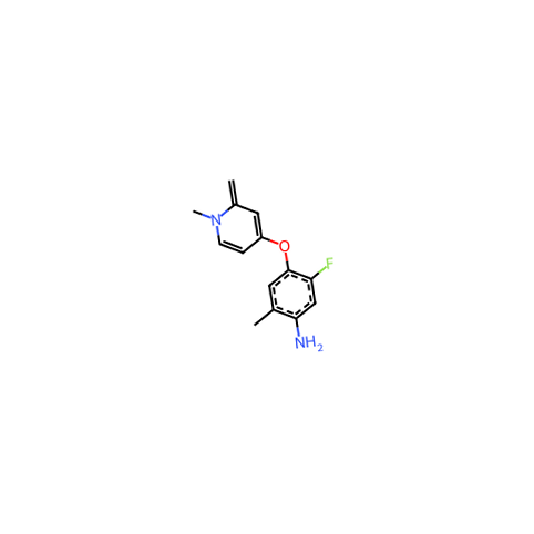 C=C1C=C(Oc2cc(C)c(N)cc2F)C=CN1C